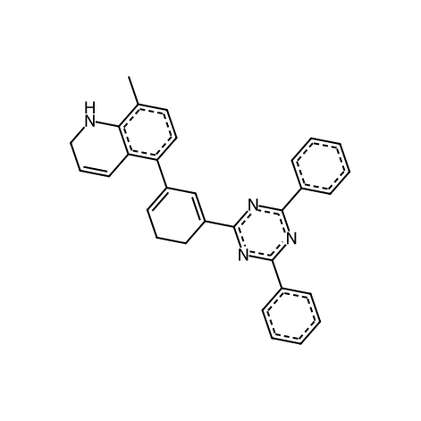 Cc1ccc(C2=CCCC(c3nc(-c4ccccc4)nc(-c4ccccc4)n3)=C2)c2c1NCC=C2